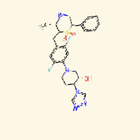 C[C@@H]1NC[C@@H](c2ccccc2)S(=O)(=O)C1Cc1cc(F)c(N2CC[C@H](n3cnnc3)[C@@H](O)C2)cc1F